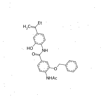 C=C(CC)c1ccc(NC(=O)c2ccc(NC(C)=O)c(OCc3ccccc3)c2)c(O)c1